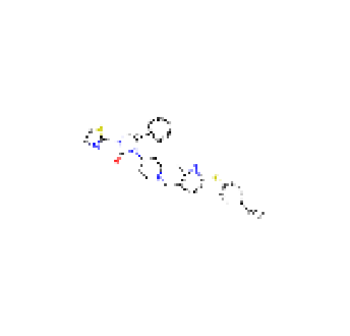 Cc1nc(Sc2ccc(C(=O)O)cc2)ccc1CN1CCC(N2C(=O)N(c3nccs3)C[C@H]2c2ccccc2)CC1